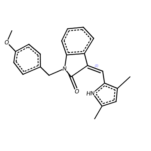 COc1ccc(CN2C(=O)/C(=C\c3[nH]c(C)cc3C)c3ccccc32)cc1